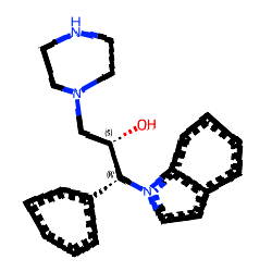 O[C@@H](CN1CCNCC1)[C@@H](c1ccccc1)n1ccc2ccccc21